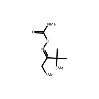 CNC(=O)ON=C(CSC)C(C)(C)SC